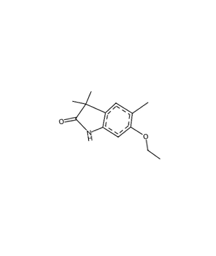 CCOc1cc2c(cc1C)C(C)(C)C(=O)N2